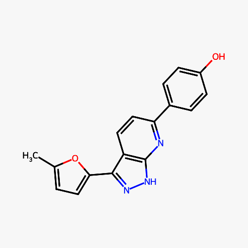 Cc1ccc(-c2n[nH]c3nc(-c4ccc(O)cc4)ccc23)o1